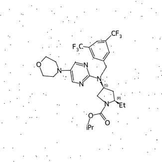 CC[C@@H]1C[C@H](N(Cc2cc(C(F)(F)F)cc(C(F)(F)F)c2)c2ncc(N3CCOCC3)cn2)CN1C(=O)OC(C)C